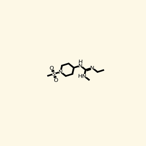 CC/N=C(\NC)NC1CCN(S(C)(=O)=O)CC1